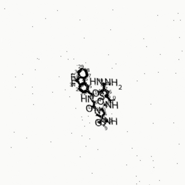 C[C@@H](NC(=O)[C@@H]1C[C@@H](S(C)(=N)=O)CN1C(=O)CNC(=O)c1ccc2c(c1)C1C=CC=CC1C2(F)F)c1cc(C(=N)N)cs1